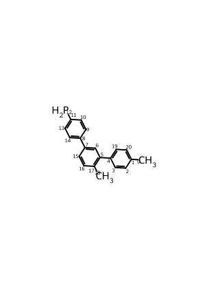 Cc1ccc(-c2cc(-c3ccc(P)cc3)ccc2C)cc1